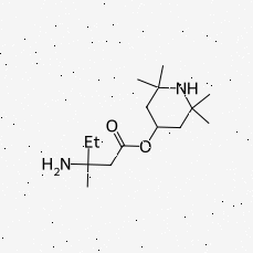 CCC(C)(N)CC(=O)OC1CC(C)(C)NC(C)(C)C1